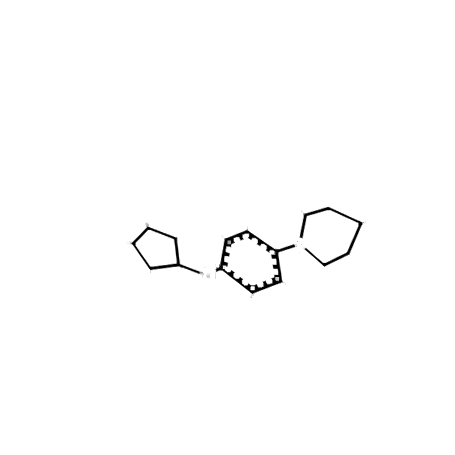 c1cc(N2CCCCC2)ccc1NC1CCCC1